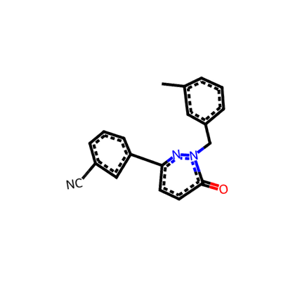 Cc1cccc(Cn2nc(-c3cccc(C#N)c3)ccc2=O)c1